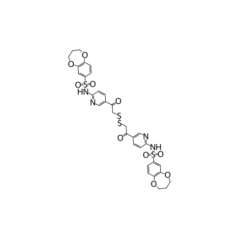 O=C(CSSCC(=O)c1ccc(NS(=O)(=O)c2ccc3c(c2)OCCCO3)nc1)c1ccc(NS(=O)(=O)c2ccc3c(c2)OCCCO3)nc1